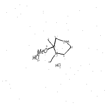 COC1(C)CNCCN1C.Cl.Cl